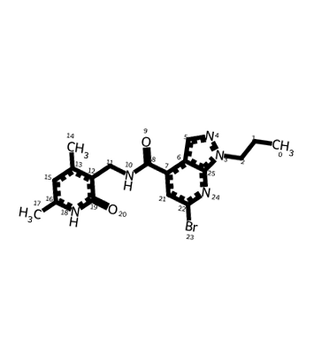 CCCn1ncc2c(C(=O)NCc3c(C)cc(C)[nH]c3=O)cc(Br)nc21